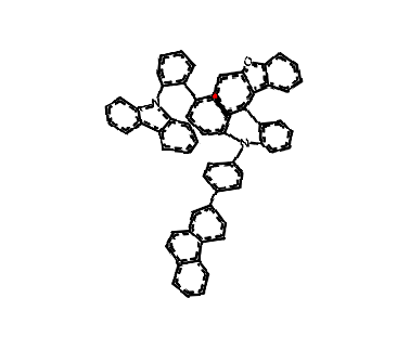 c1ccc(N(c2ccc(-c3ccc4c(ccc5ccccc54)c3)cc2)c2ccc(-c3ccccc3-n3c4ccccc4c4ccccc43)cc2)c(-c2cccc3oc4ccccc4c23)c1